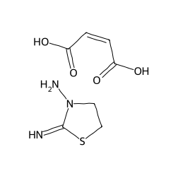 N=C1SCCN1N.O=C(O)/C=C\C(=O)O